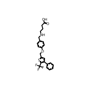 O=C(O)CCCNCc1ccc(OCc2cc(-c3ccccc3)c(C(F)(F)F)s2)cc1